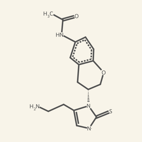 CC(=O)Nc1ccc2c(c1)C[C@@H](N1C(=S)[N]C=C1CCN)CO2